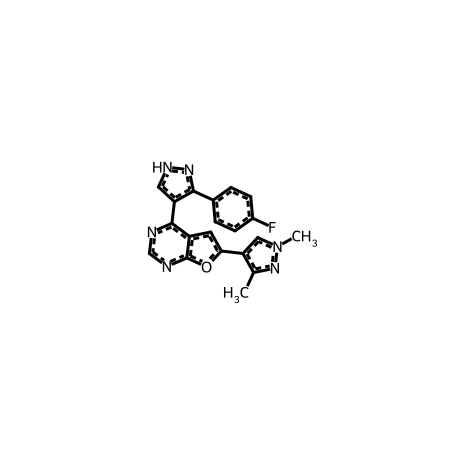 Cc1nn(C)cc1-c1cc2c(-c3c[nH]nc3-c3ccc(F)cc3)ncnc2o1